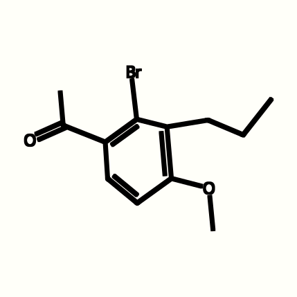 CCCc1c(OC)ccc(C(C)=O)c1Br